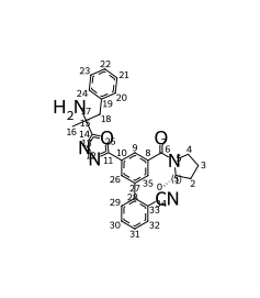 C[C@H]1CCCN1C(=O)c1cc(-c2nnc(C(C)(N)Cc3ccccc3)o2)cc(-c2ccccc2C#N)c1